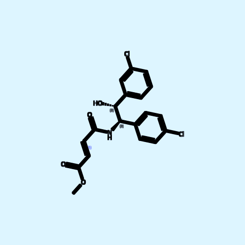 COC(=O)/C=C/C(=O)N[C@H](c1ccc(Cl)cc1)[C@H](O)c1cccc(Cl)c1